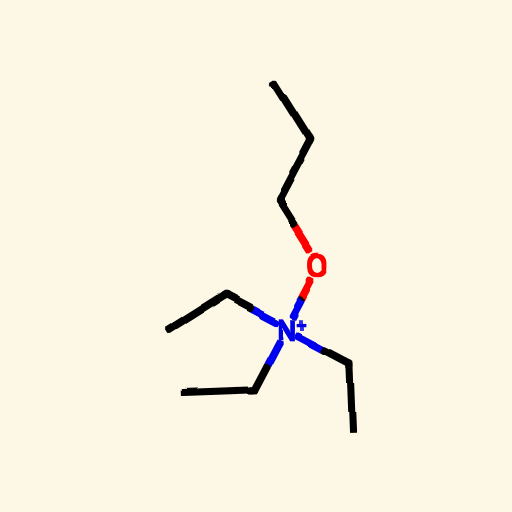 CCCO[N+](CC)(CC)CC